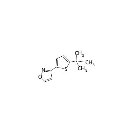 CC(C)(C)c1ccc(-c2ccon2)s1